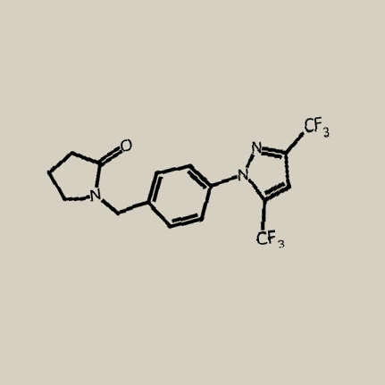 O=C1CCCN1Cc1ccc(-n2nc(C(F)(F)F)cc2C(F)(F)F)cc1